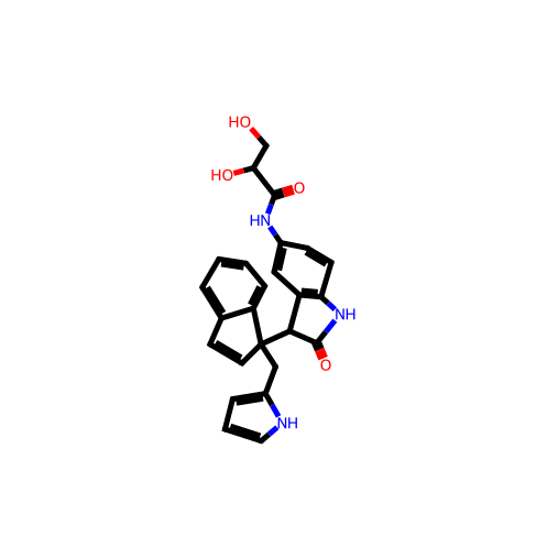 O=C(Nc1ccc2c(c1)C(C1(Cc3ccc[nH]3)C=Cc3ccccc31)C(=O)N2)C(O)CO